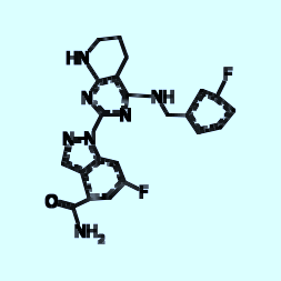 NC(=O)c1cc(F)cc2c1cnn2-c1nc2c(c(NCc3cccc(F)c3)n1)CCCN2